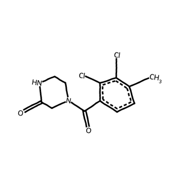 Cc1ccc(C(=O)N2CCNC(=O)C2)c(Cl)c1Cl